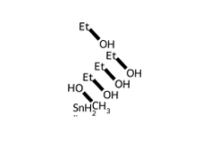 CCO.CCO.CCO.CCO.CO.[SnH2]